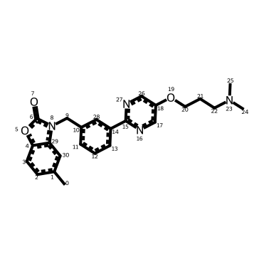 Cc1ccc2oc(=O)n(Cc3cccc(-c4ncc(OCCCN(C)C)cn4)c3)c2c1